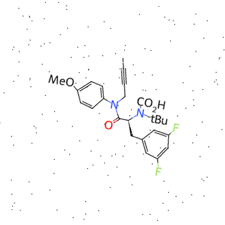 CC#CCN(C(=O)[C@H](Cc1cc(F)cc(F)c1)N(C(=O)O)C(C)(C)C)c1ccc(OC)cc1